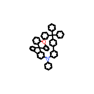 c1ccc(N(c2cccc(-c3ccc(C(c4ccccc4)(c4ccccc4)c4ccccc4)cc3)c2)c2ccc3c(c2)C2(c4ccccc4Oc4ccccc42)c2ccccc2-3)cc1